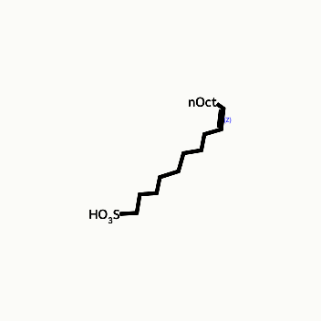 CCCCCCCC/C=C\CCCCCCCCS(=O)(=O)O